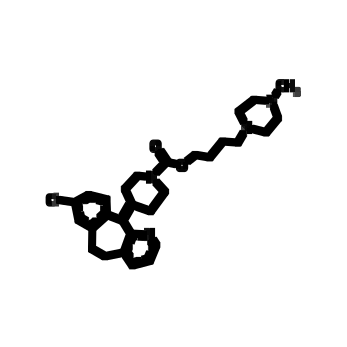 CN1CCN(CCCCOC(=O)N2CCC(=C3c4ccc(Cl)cc4CCc4cccnc43)CC2)CC1